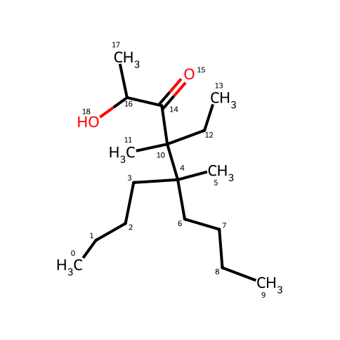 CCCCC(C)(CCCC)C(C)(CC)C(=O)C(C)O